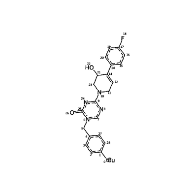 CC(C)(C)c1ccc(Cn2cnc(N3CC=C(c4ccc(F)cc4)C(O)C3)nc2=O)cc1